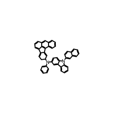 C1=C2C(=CC(N(c3ccccc3)c3ccc4c(c3)c3ccccc3n4-c3ccc4ccccc4c3)C1)c1c3ccccc3cc3cccc2c13